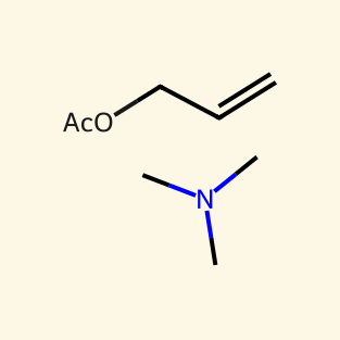 C=CCOC(C)=O.CN(C)C